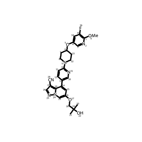 COc1ncc(OC2CCN(c3ccc(-c4cc(OCC(C)(C)O)cn5ncc(C#N)c45)cn3)CC2)cc1F